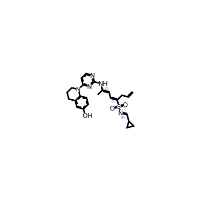 C=CC/C(=C\C=C(/C)Nc1nccc(N2CCCc3cc(O)ccc32)n1)S(=O)(=O)/N=C/C1CC1